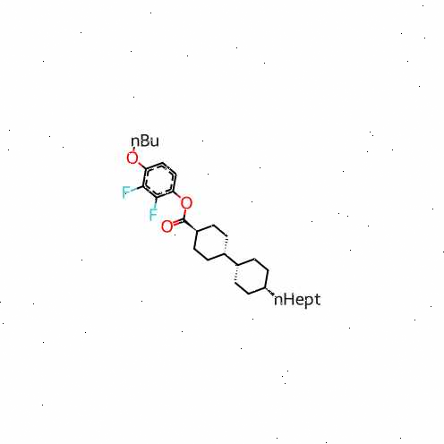 CCCCCCC[C@H]1CC[C@H]([C@H]2CC[C@H](C(=O)Oc3ccc(OCCCC)c(F)c3F)CC2)CC1